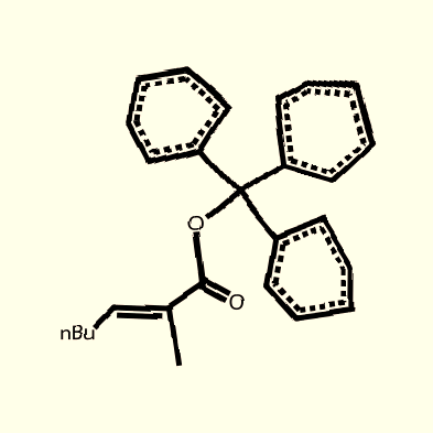 CCCCC=C(C)C(=O)OC(c1ccccc1)(c1ccccc1)c1ccccc1